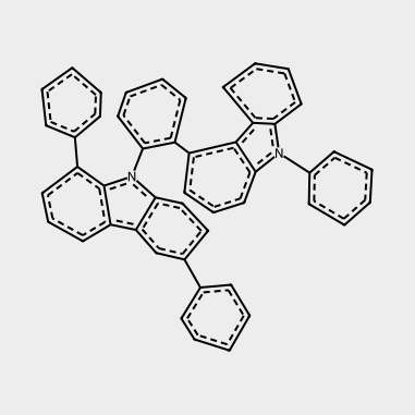 c1ccc(-c2ccc3c(c2)c2cccc(-c4ccccc4)c2n3-c2ccccc2-c2cccc3c2c2ccccc2n3-c2ccccc2)cc1